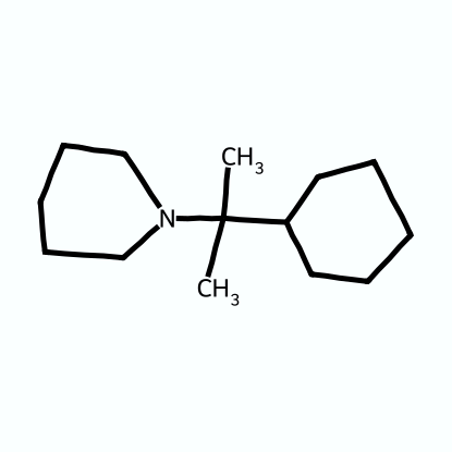 CC(C)(C1CCCCC1)N1CCCCC1